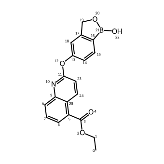 CCOC(=O)c1cccc2nc(Oc3ccc4c(c3)COB4O)ccc12